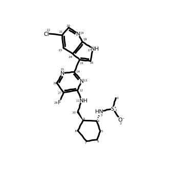 C[S+]([O-])N[C@@H]1CCCC[C@H]1CNc1nc(-c2c[nH]c3ncc(Cl)cc23)ncc1F